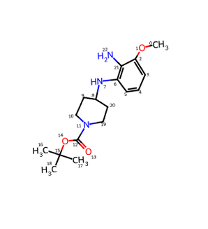 COc1cccc(NC2CCN(C(=O)OC(C)(C)C)CC2)c1N